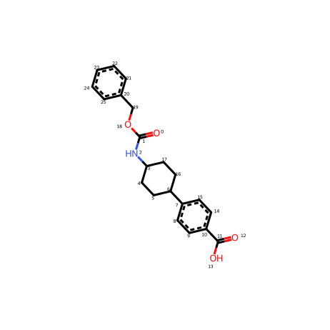 O=C(NC1CCC(c2ccc(C(=O)O)cc2)CC1)OCc1ccccc1